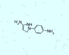 NC1=CCN(c2ccc(N)cc2)N1